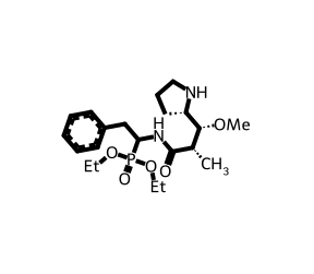 CCOP(=O)(OCC)C(Cc1ccccc1)NC(=O)[C@@H](C)[C@@H](OC)[C@@H]1CCCN1